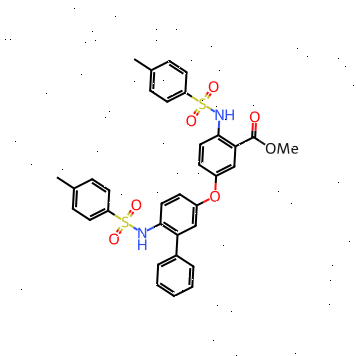 COC(=O)c1cc(Oc2ccc(NS(=O)(=O)c3ccc(C)cc3)c(-c3ccccc3)c2)ccc1NS(=O)(=O)c1ccc(C)cc1